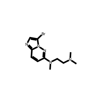 CN(C)CCN(C)c1ccc2ncc(Br)n2n1